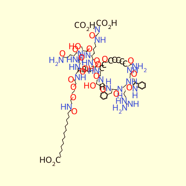 CCCC[C@H](NC(=O)[C@H](CCCCNC(=O)CN(CC(=O)O)CC(=O)O)NC(=O)[C@H](CO)NC(=O)[C@H](CCC(N)=O)NC(=O)[C@H](CO)NC(=O)CNC(=O)COCCOCCNC(=O)CCCCCCCCCCCCCCC(=O)O)C(=O)N[C@H]1CCC(=O)CCCCC[C@@H](C(N)=O)NC(=O)[C@H](Cc2c[nH]c3ccccc23)NC(=O)[C@H](CCCNC(=N)N)NC(=O)[C@@H](Cc2ccccc2)NC(=O)[C@@H]2C[C@@H](O)CN2C1=O